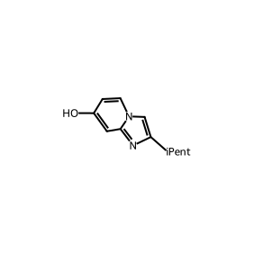 CCCC(C)c1cn2ccc(O)cc2n1